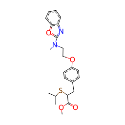 COC(=O)C(Cc1ccc(OCCN(C)c2nc3ccccc3o2)cc1)SC(C)C